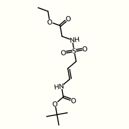 CCOC(=O)CNS(=O)(=O)CC=CNC(=O)OC(C)(C)C